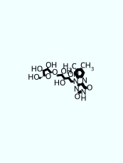 Cc1cc2nc3c(=O)[nH]c(=O)nc-3n(C[C@H](O)[C@H](O)[C@H](O)CO[C@H]3O[C@H](CO)[C@@H](O)[C@H]3O)c2cc1C